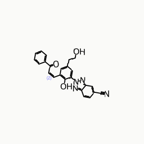 N#Cc1ccc2nn(-c3cc(CCO)cc(/C=C\C(=O)c4ccccc4)c3O)nc2c1